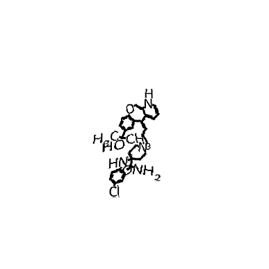 CC(C)(O)c1ccc2c(c1)C(=CCCN1CCC(Nc3ccc(Cl)cc3)(C(N)=O)CC1)C1=CC=CNC1=CO2